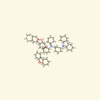 C1=Cc2cc3oc4c(-c5ccccc5N(c5ccc(-c6cccc7oc8ccccc8c67)cc5)c5cccc(-n6c7ccccc7c7ccccc76)c5)cccc4c3cc2CC1